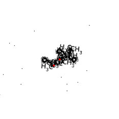 CC(C)C(NC(=O)C(Cc1ccccc1)CC(O)C(Cc1ccccc1)NC(=O)OC(C)(C)C)C(=O)N1CCC(CN(C)C(=O)OCc2ccccc2)CC1